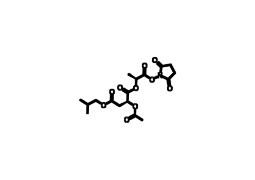 CC(=O)O[C@@H](CC(=O)OCC(C)C)C(=O)O[C@@H](C)C(=O)ON1C(=O)CCC1=O